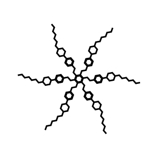 CCCCCCCC1CCC(c2ccc(CCc3c(CCc4ccc(C5CCC(CCCCCCC)CC5)cc4)c(CCc4ccc(C5CCC(CCCCCCC)CC5)cc4)c(CCc4ccc(C5CCC(CCCCCCC)CC5)cc4)c(CCc4ccc(C5CCC(CCCCCCC)CC5)cc4)c3CCc3ccc(C4CCC(CCCCCCC)CC4)cc3)cc2)CC1